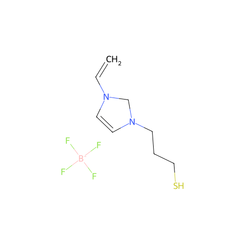 C=CN1C=CN(CCCS)C1.F[B-](F)(F)F